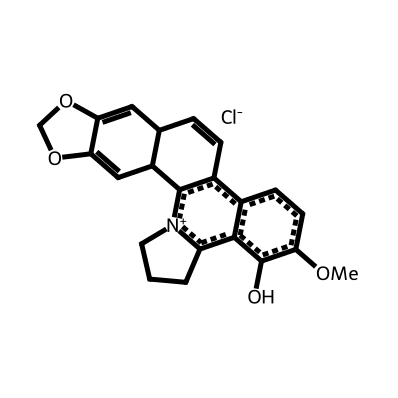 COc1ccc2c3c([n+]4c(c2c1O)CCC4)C1C=C2OCOC2=CC1C=C3.[Cl-]